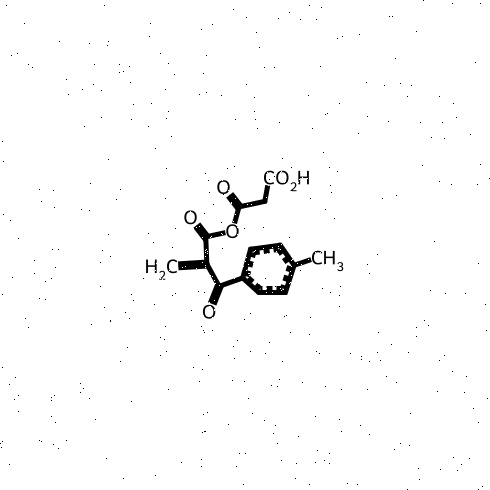 C=C(C(=O)OC(=O)CC(=O)O)C(=O)c1ccc(C)cc1